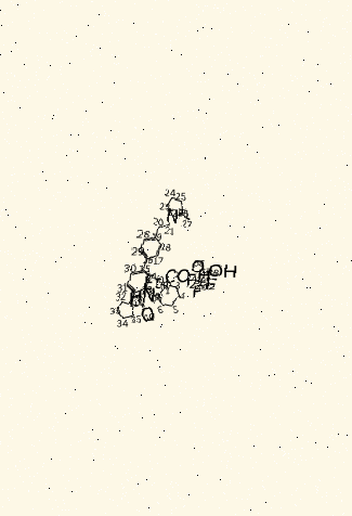 CC[C@@]1(C(=O)O)CCCC[C@H]1NC(=O)C1(c2ccc(-c3ccc(CCN4CCC[C@H]4C)cc3)cc2)CCCC1.O=C(O)C(F)(F)F